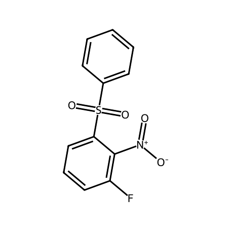 O=[N+]([O-])c1c(F)cccc1S(=O)(=O)c1ccccc1